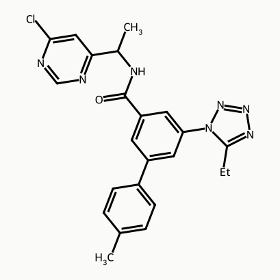 CCc1nnnn1-c1cc(C(=O)NC(C)c2cc(Cl)ncn2)cc(-c2ccc(C)cc2)c1